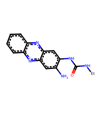 CCNC(=O)Nc1cc2nc3ccccc3nc2cc1N